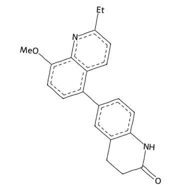 CCc1ccc2c(-c3ccc4c(c3)CCC(=O)N4)ccc(OC)c2n1